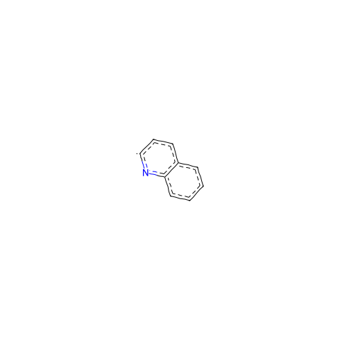 [c]1ccc2ccccc2n1